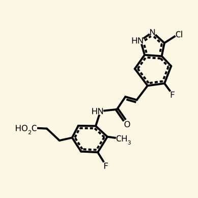 Cc1c(F)cc(CCC(=O)O)cc1NC(=O)C=Cc1cc2[nH]nc(Cl)c2cc1F